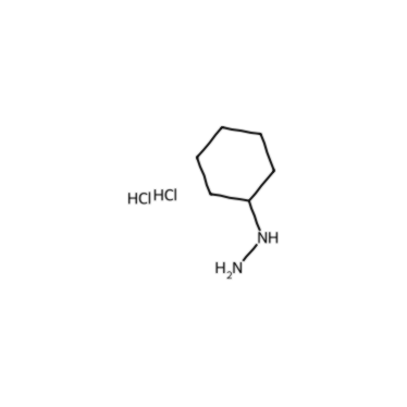 Cl.Cl.NNC1CCCCC1